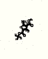 COC(=O)c1c(N)sc(C(=O)OC(C)(C)C)c1C